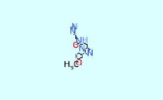 COc1cccc(-c2cncc3ccc(C(=O)NCCCn4ccnc4)nc23)c1